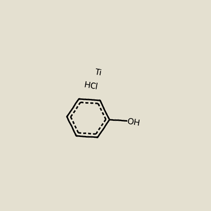 Cl.Oc1ccccc1.[Ti]